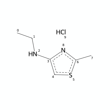 CCNc1csc(C)n1.Cl